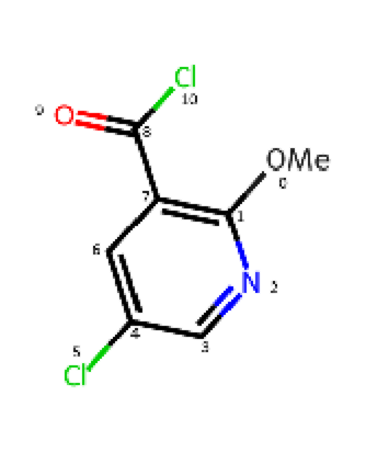 COc1ncc(Cl)cc1C(=O)Cl